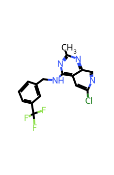 Cc1nc(NCc2cccc(C(F)(F)F)c2)c2cc(Cl)ncc2n1